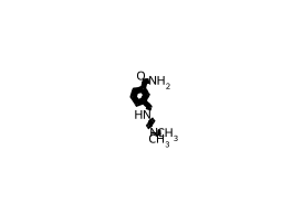 CN(C)CCNCc1cccc(C(N)=O)c1